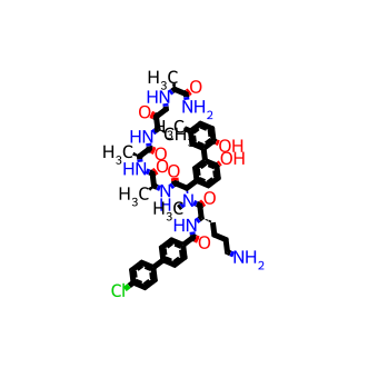 Cc1ccc(O)c(-c2cc([C@@H](C(=O)N[C@@H](C)C(=O)N[C@@H](C)C(=O)N[C@@H](C)C(=O)CN[C@@H](C)C(N)=O)N(C)C(=O)[C@H](CCCCN)NC(=O)c3ccc(-c4ccc(Cl)cc4)cc3)ccc2O)c1